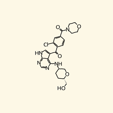 O=C(c1ccc(C(=O)N2CCOCC2)cc1Cl)c1c[nH]c2ncnc(N[C@@H]3CC[C@@H](CO)OC3)c12